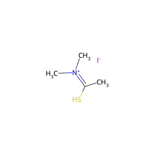 CC(S)=[N+](C)C.[I-]